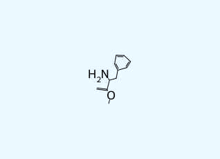 C=C(OC)C(N)Cc1ccccc1